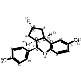 Cc1ccc([C@@H]2Oc3ccc(O)cc3[C@@H]3C[C@@H](F)C[C@@H]32)cc1